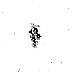 [2H]C([2H])([2H])NC(=O)c1nnc(NC(=O)C2CC2)cc1Nc1cc(F)cc(-c2ccc(C(=O)N(C)C)cn2)c1OC